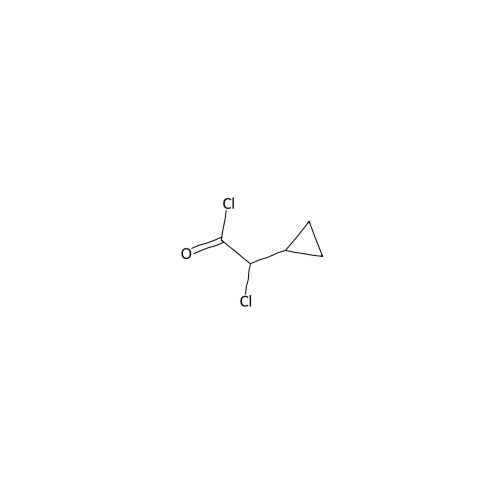 O=C(Cl)C(Cl)C1CC1